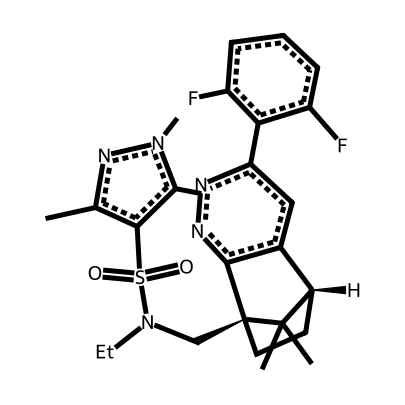 CCN(C[C@@]12CC[C@@H](c3cc(-c4c(F)cccc4F)nnc31)C2(C)C)S(=O)(=O)c1c(C)nn(C)c1C